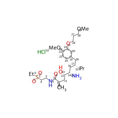 CCS(=O)(=O)CCNC(=O)[C@H](C)C[C@H](O)[C@@H](N)C[C@H](Cc1ccc(OC)c(OCCCOC)c1)C(C)C.Cl